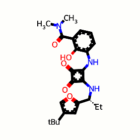 CC[C@@H](Nc1c(Nc2cccc(C(=O)N(C)C)c2O)c(=O)c1=O)c1cc(C(C)(C)C)co1